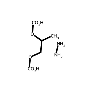 CC(COC(=O)O)OC(=O)O.NN